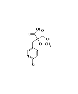 COC(Cc1ccc(Br)nc1)(C(=O)O)C(=O)O